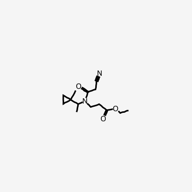 CCOC(=O)CCN(C(=O)CC#N)C(C)C1(C)CC1